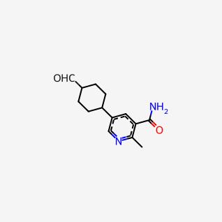 Cc1ncc(C2CCC(C=O)CC2)cc1C(N)=O